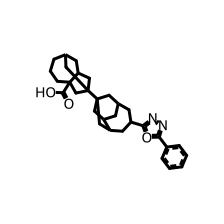 O=C(O)C12CCCC3CC1CC(C14CC5CC(c6nnc(-c7ccccc7)o6)CC(C1)C(C5)C4)(C3)C2